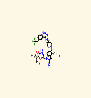 Cc1c(CN2CCC3(CC2)CN(c2ncnc4ccc(CC(F)(F)F)cc24)C3)ccc2c1cc(C#N)n2CC1CNC(=O)C(C)(C)O1